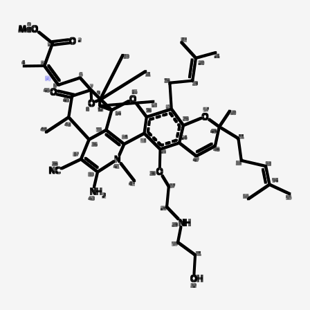 COC(=O)/C(C)=C\CC12OC(C)(C)C(C)C13Oc1c(CC=C(C)C)c4c(c(OCCNCCO)c1C1=C3C(C(C#N)=C(N)N1C)C(C)C2=O)C=CC(C)(CCC=C(C)C)O4